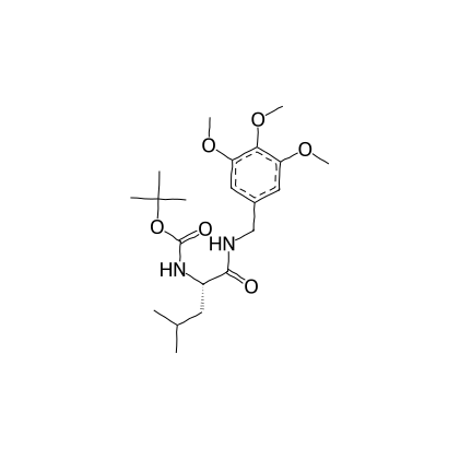 COc1cc(CNC(=O)[C@H](CC(C)C)NC(=O)OC(C)(C)C)cc(OC)c1OC